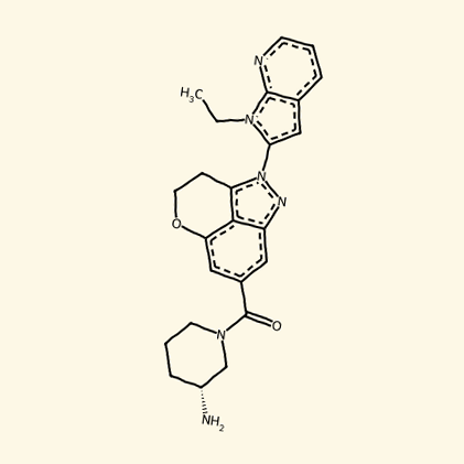 CCn1c(-n2nc3cc(C(=O)N4CCC[C@@H](N)C4)cc4c3c2CCO4)cc2cccnc21